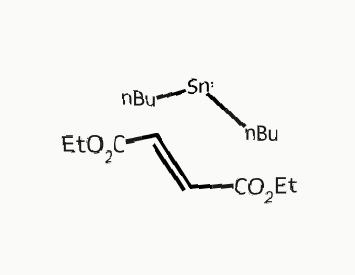 CCC[CH2][Sn][CH2]CCC.CCOC(=O)C=CC(=O)OCC